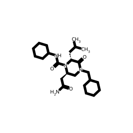 CC(C)C[C@@H]1C(=O)N(CC2CCCCC2)C[C@@H](CC(N)=O)N1C(=O)NC1CCCCC1